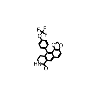 O=C1NCCc2c1cc1ccc3c(c1c2-c1ccc(OC(F)(F)F)cc1)OCO3